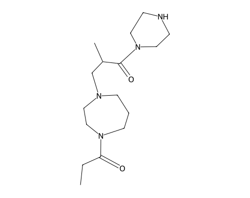 CCC(=O)N1CCCN(CC(C)C(=O)N2CCNCC2)CC1